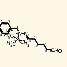 C[Si](C)(C)N(Cc1ccccc1)N=CCCCCC=O